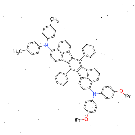 Cc1ccc(N(c2ccc(C)cc2)c2ccc3c4c(-c5ccccc5)c5c6ccc(N(c7ccc(OC(C)C)cc7)c7ccc(OC(C)C)cc7)c7cccc(c5c(-c5ccccc5)c4c4cccc2c43)c76)cc1